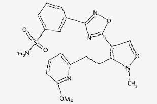 COc1cccc(CCc2c(-c3nc(-c4cccc(S(N)(=O)=O)c4)no3)cnn2C)n1